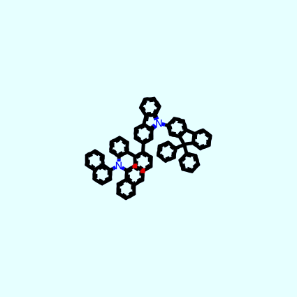 c1ccc(C2(c3ccccc3)c3ccccc3-c3ccc(-n4c5ccccc5c5ccc(-c6ccccc6-c6ccccc6N(c6cccc7ccccc67)c6cccc7ccccc67)cc54)cc32)cc1